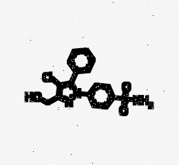 NS(=O)(=O)c1ccc(-n2nc(CO)c(Cl)c2-c2ccccc2)cc1